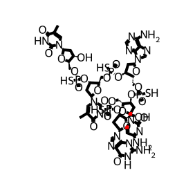 Cc1cn([C@H]2C[C@H](OP(=O)(S)OC[C@H]3O[C@@H](n4cc(C)c(=O)[nH]c4=O)C[C@@H]3O)[C@@H](COP(=O)(S)O[C@H]3C[C@H](n4cnc5c(N)ncnc54)O[C@@H]3COP(=O)(S)O[C@H]3C[C@H](n4ccc(N)nc4=O)O[C@@H]3COP(=O)(S)O[C@H]3C[C@H](n4cnc5c(=O)[nH]c(N)nc54)O[C@@H]3CO)O2)c(=O)[nH]c1=O